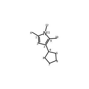 Cc1cc(C2CCCC2)c(C)n1C